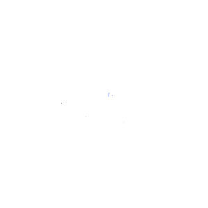 C=CCONC(CCCCC)=C1C(=O)CC(C)(C)CC1=O